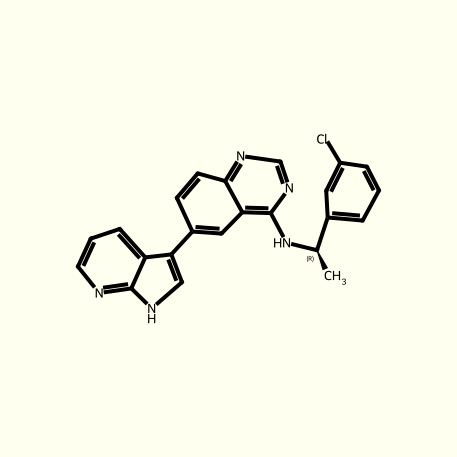 C[C@@H](Nc1ncnc2ccc(-c3c[nH]c4ncccc34)cc12)c1cccc(Cl)c1